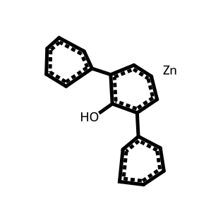 Oc1c(-c2ccccc2)cccc1-c1ccccc1.[Zn]